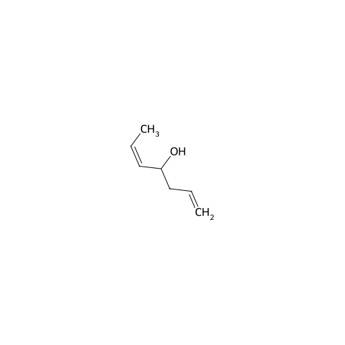 C=CCC(O)/C=C\C